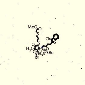 COC(=O)CSCCCS[C@H]1C(=O)C(C)(C)[C@@H](OSBr)[C@@H]1/C=C/C(CCc1sc2ccccc2c1Cl)O[Si](C)(C)C(C)(C)C